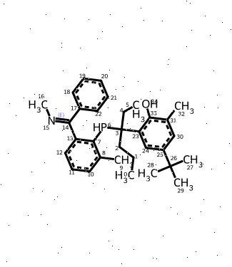 CCCC(CC)(Pc1c(C)cccc1/C(=N/C)c1ccccc1)c1cc(C(C)(C)C)cc(C)c1O